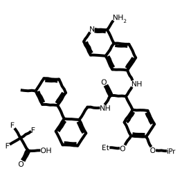 CCOc1cc(C(Nc2ccc3c(N)nccc3c2)C(=O)NCc2ccccc2-c2cccc(C)c2)ccc1OC(C)C.O=C(O)C(F)(F)F